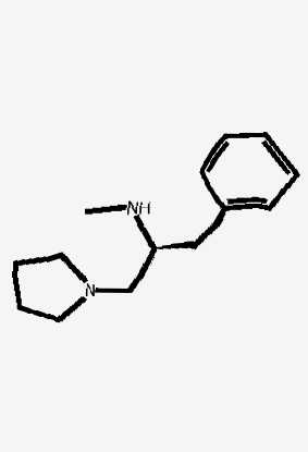 CN[C@@H](Cc1ccccc1)CN1CCCC1